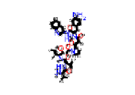 CC[C@H](C)C([C@@H](CC(=O)N1CCC[C@H]1[C@H](OC)[C@@H](C)C(=O)NC(Cc1ccc(N)cc1)C(=O)Nc1cnc2ccccc2c1)OC)N(C)C(=O)C(NC(=O)[C@@H](C(C)C)N(C)C)C(C)C